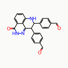 O=Cc1ccc(C2Nc3cccc4c(=O)[nH]nc(c34)C2c2ccc(C=O)cc2)cc1